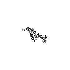 CC(C)(C)OC(=O)c1cc2cc(NC(=O)[C@H](Cc3ccc(NC(=O)N4CCC5(CC4)CC(O)CO5)cc3)N3CCN(c4cc(Cl)ccc4-n4cnnn4)C(=O)C3=O)ccc2n1C(=O)OC(C)(C)C